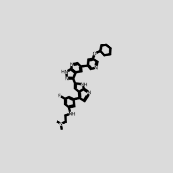 CN(C)CCNc1cc(F)cc(-c2ccnc3[nH]c(-c4n[nH]c5ncc(-c6cncc(OC7CCCCC7)c6)cc45)cc23)c1